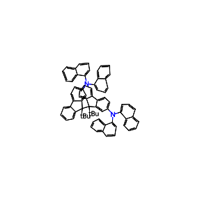 CC(C)(C)C1(C2(C(C)(C)C)c3ccccc3-c3ccc(N(c4cccc5ccccc45)c4cccc5ccccc45)cc32)c2ccccc2-c2ccc(N(c3cccc4ccccc34)c3cccc4ccccc34)cc21